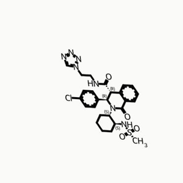 CS(=O)(=O)N[C@H]1CCCC[C@@H]1N1C(=O)c2ccccc2[C@@H](C(=O)NCCn2cnnn2)[C@@H]1c1ccc(Cl)cc1